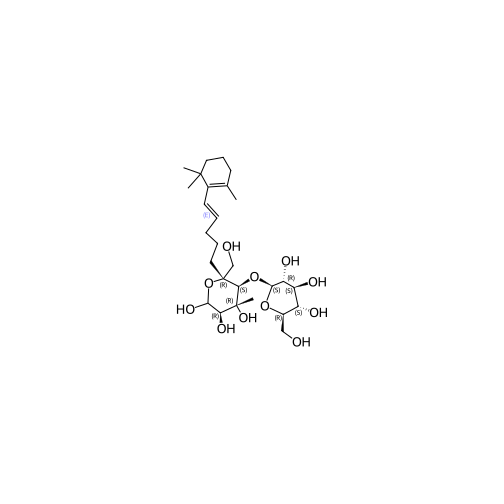 CC1=C(/C=C/CCC[C@]2(CO)OC(O)[C@H](O)[C@@](C)(O)[C@@H]2O[C@@H]2O[C@H](CO)[C@@H](O)[C@H](O)[C@H]2O)C(C)(C)CCC1